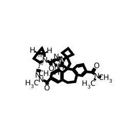 CN(C)C(=O)c1ccc2c(c1)CCc1cc(C(=O)N(C)C)ccc1C2(CC1(NCC(=O)N2[C@H](C#N)C[C@@H]3C[C@@H]32)CCC1)c1nnn[nH]1